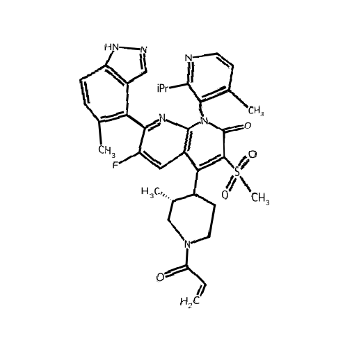 C=CC(=O)N1CCC(c2c(S(C)(=O)=O)c(=O)n(-c3c(C)ccnc3C(C)C)c3nc(-c4c(C)ccc5[nH]ncc45)c(F)cc23)[C@@H](C)C1